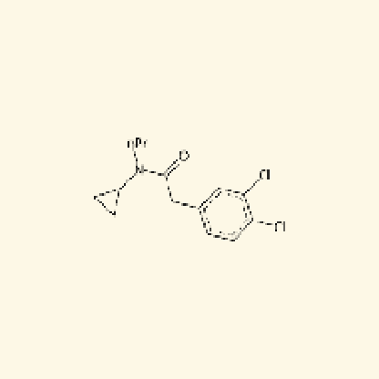 CCCN(C(=O)Cc1ccc(Cl)c(Cl)c1)C1CC1